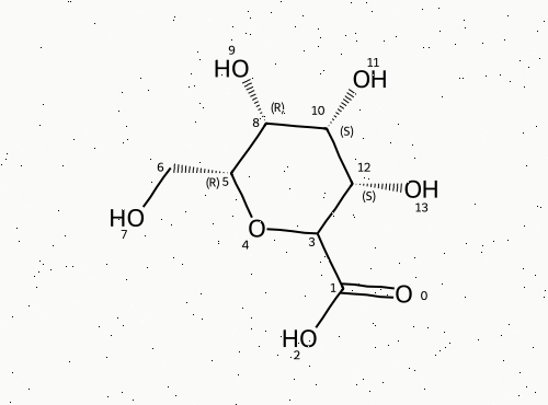 O=C(O)C1O[C@H](CO)[C@H](O)[C@H](O)[C@@H]1O